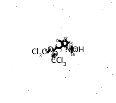 CC1=C(CCC(OCC(Cl)(Cl)Cl)OCC(Cl)(Cl)Cl)/C(=N/C(C)(C)O)CC1